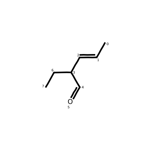 C/C=C/C(C=O)CC